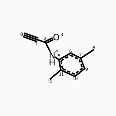 C#CC(=O)Nc1cc(C)ccc1C